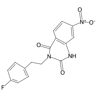 O=c1[nH]c2cc([N+](=O)[O-])ccc2c(=O)n1CCc1ccc(F)cc1